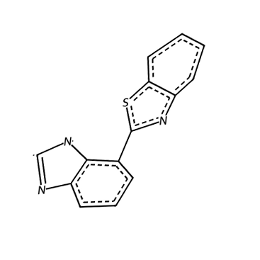 [C]1=Nc2cccc(-c3nc4ccccc4s3)c2[N]1